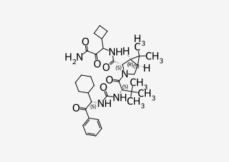 CC(C)(C)[C@H](NC(=O)N[C@H](C(=O)c1ccccc1)C1CCCCC1)C(=O)N1C[C@H]2[C@@H]([C@H]1C(=O)NC(C(=O)C(N)=O)C1CCC1)C2(C)C